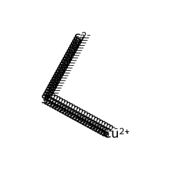 [Cu+2].[S-2].[S-2].[S-2].[S-2].[S-2].[S-2].[S-2].[S-2].[S-2].[S-2].[S-2].[S-2].[S-2].[S-2].[S-2].[S-2].[S-2].[S-2].[S-2].[S-2].[S-2].[S-2].[S-2].[S-2].[S-2].[S-2].[S-2].[S-2].[S-2].[S-2].[S-2].[S-2].[S-2].[S-2].[S-2].[S-2].[S-2].[S-2].[S-2].[S-2].[S-2].[S-2].[S-2].[S-2].[S-2].[S-2].[S-2].[S-2].[S-2]